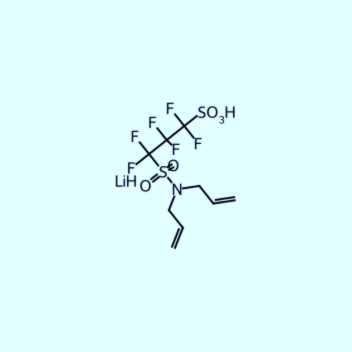 C=CCN(CC=C)S(=O)(=O)C(F)(F)C(F)(F)C(F)(F)S(=O)(=O)O.[LiH]